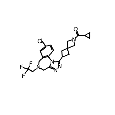 O=C(C1CC1)N1CC2(CC(c3nnc4n3-c3ccc(Cl)cc3CN(CC(F)(F)F)C4)C2)C1